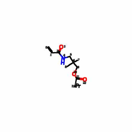 C=CC(=O)NCC(C)(C)COC(=O)C(C)C